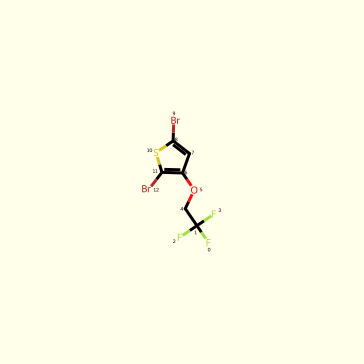 FC(F)(F)COc1cc(Br)sc1Br